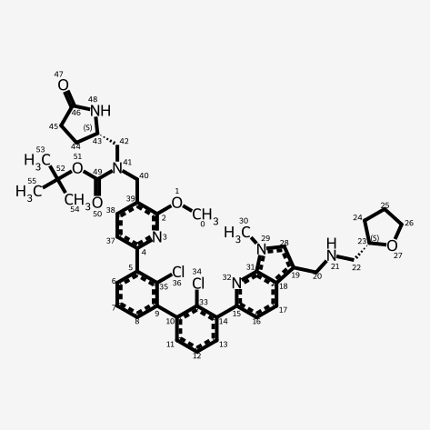 COc1nc(-c2cccc(-c3cccc(-c4ccc5c(CNC[C@@H]6CCCO6)cn(C)c5n4)c3Cl)c2Cl)ccc1CN(C[C@@H]1CCC(=O)N1)C(=O)OC(C)(C)C